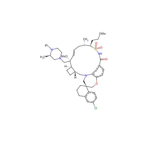 COCC[C@@H]1[C@@H](C)C/C=C/[C@@](CN2CCN(C(C)C)[C@H](C)C2)(OC)[C@@H]2CC[C@H]2CN2C[C@@]3(CCCc4cc(Cl)ccc43)COc3ccc(cc32)C(=O)NS1(=O)=O